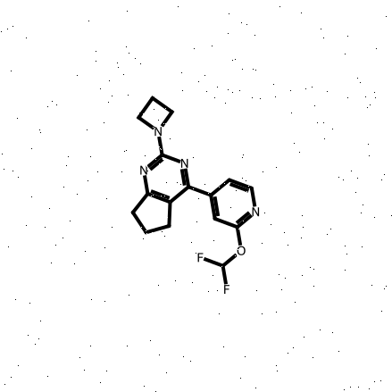 FC(F)Oc1cc(-c2nc(N3CCC3)nc3c2CCC3)ccn1